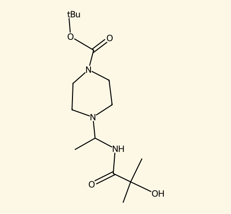 CC(NC(=O)C(C)(C)O)N1CCN(C(=O)OC(C)(C)C)CC1